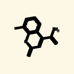 C=C1C=C(C(=C)N)c2cccc(C)c2O1